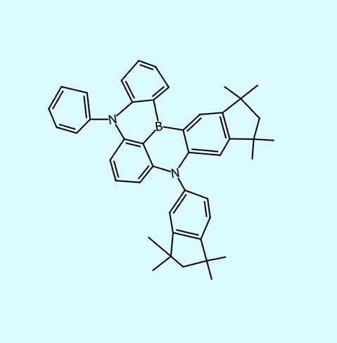 CC1(C)CC(C)(C)c2cc(N3c4cc5c(cc4B4c6ccccc6N(c6ccccc6)c6cccc3c64)C(C)(C)CC5(C)C)ccc21